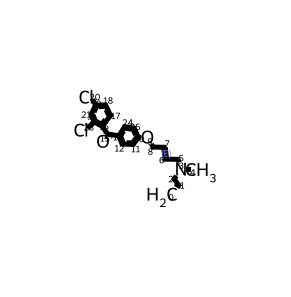 C=CCN(C)C/C=C/COc1ccc(C(=O)c2ccc(Cl)cc2Cl)cc1